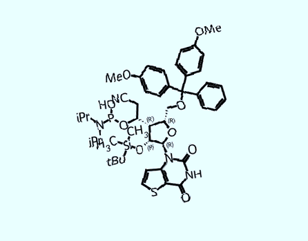 COc1ccc(C(OC[C@@H]2O[C@@H](n3c(=O)[nH]c(=O)c4sccc43)[C@H](O[Si](C)(C)C(C)(C)C)[C@@H]2C(CC#N)OP(O)N(C(C)C)C(C)C)(c2ccccc2)c2ccc(OC)cc2)cc1